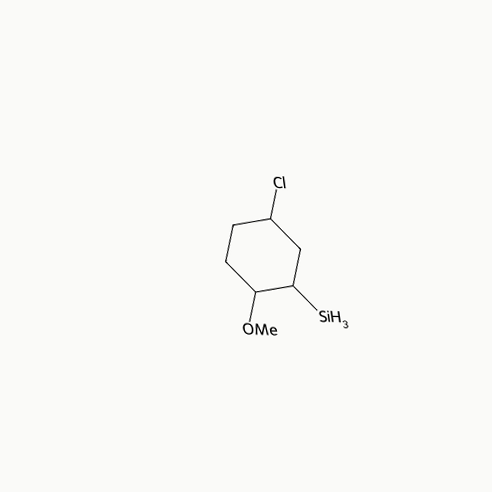 COC1CCC(Cl)CC1[SiH3]